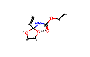 C=CC1(NC(=O)OCC)OCCO1